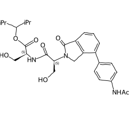 CC(=O)Nc1ccc(-c2cccc3c2CN([C@@H](CO)C(=O)N[C@@H](CO)C(=O)OC(C(C)C)C(C)C)C3=O)cc1